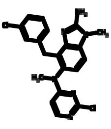 CN(c1ccnc(Cl)n1)c1ccc2c(nc(N)n2C)c1Cc1cccc(Cl)c1